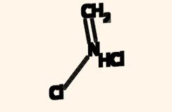 C=NCl.Cl